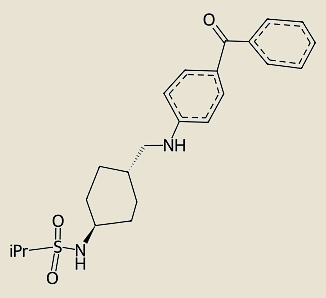 CC(C)S(=O)(=O)N[C@H]1CC[C@H](CNc2ccc(C(=O)c3ccccc3)cc2)CC1